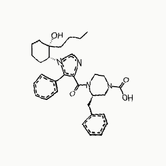 CCCC[C@]1(O)CCCC[C@H]1n1cnc(C(=O)N2CCN(C(=O)O)C[C@H]2Cc2ccccc2)c1-c1ccccc1